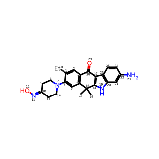 CCc1cc2c(cc1N1CCC(=NO)CC1)C(C)(C)c1[nH]c3cc(N)ccc3c1C2=O